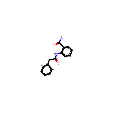 NC(=O)c1ccccc1NC(=O)Cc1ccccc1